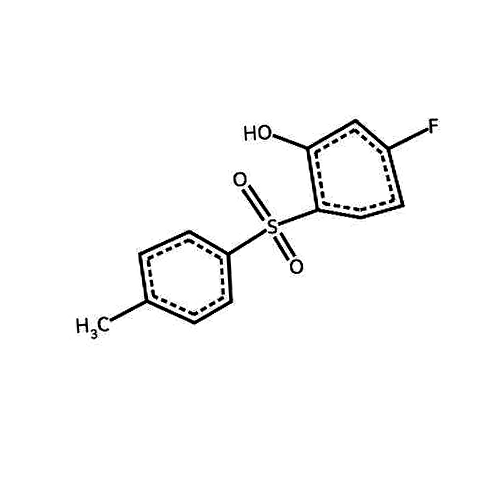 Cc1ccc(S(=O)(=O)c2ccc(F)cc2O)cc1